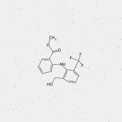 COC(=O)c1ccccc1Nc1c(CO)cccc1C(F)(F)F